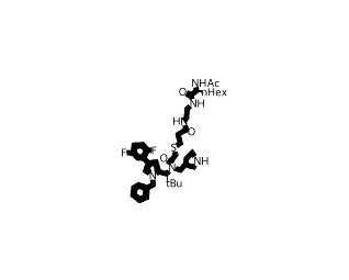 CCCCCC[C@H](NC(C)=O)C(=O)NCCNC(=O)CCSCC(=O)N(CC1CCNC1)[C@@H](c1cc(-c2cc(F)ccc2F)cn1Cc1ccccc1)C(C)(C)C